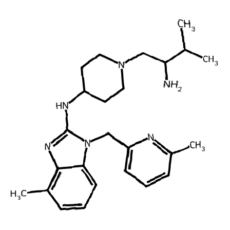 Cc1cccc(Cn2c(NC3CCN(CC(N)C(C)C)CC3)nc3c(C)cccc32)n1